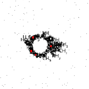 CC[C@H](C)[C@H](NC(=O)[C@H](CC(C)C)NC(=O)[C@@H](CCN)NC(=O)[C@@H]1CSSC[C@H](NC(C)=O)C(=O)N2CCC[C@H]2C(=O)N2CCC[C@H]2C(=O)N[C@@H](Cc2ccc(O)cc2)C(=O)N[C@@H](CC(C)C)C(=O)N2CCC[C@H]2C(=O)N[C@H](CCN)C(=O)N[C@@H](Cc2ccc(O)cc2)C(=O)N[C@@H](CC(C)C)C(=O)N1)C(N)=O